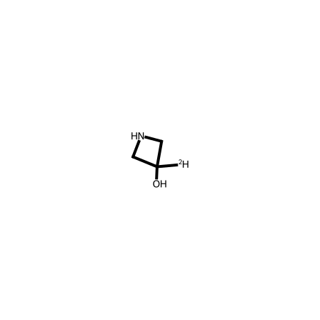 [2H]C1(O)CNC1